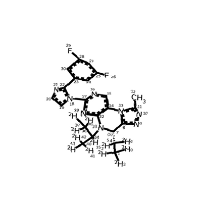 [2H]C([2H])([2H])C([2H])([2H])[C@H]1c2nnc(C)n2-c2cnc(-n3ccnc3-c3cc(F)cc(F)c3)nc2N1C([2H])(C([2H])([2H])[2H])C([2H])([2H])[2H]